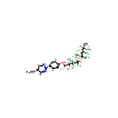 CCCCCCCCc1cnc(-c2ccc(OC(F)C(F)(F)C(F)(F)C(F)(F)OC(F)(F)C(F)(F)C(F)(F)C(F)(F)F)cc2)nc1